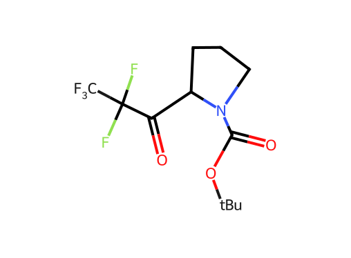 CC(C)(C)OC(=O)N1CCCC1C(=O)C(F)(F)C(F)(F)F